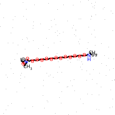 C=C(NCCOCCOCCOCCOCCOCCOCCOCCOCCOCCOCCOCCOCCC(=O)N1CC(C)OC(CC(C)(C)C)C1)C(C)C